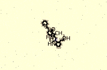 Cc1c(/C=C2\C(=O)Nc3cccc(CCO)c32)[nH]c2c1C(=O)N(CCN1CCCCC1)CC2